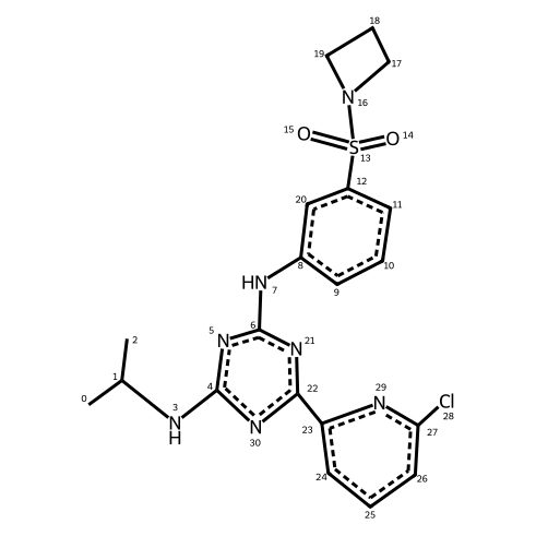 CC(C)Nc1nc(Nc2cccc(S(=O)(=O)N3CCC3)c2)nc(-c2cccc(Cl)n2)n1